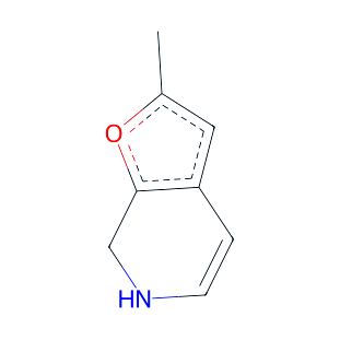 Cc1cc2c(o1)CNC=C2